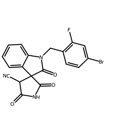 N#CC1C(=O)NC(=O)C12C(=O)N(Cc1ccc(Br)cc1F)c1ccccc12